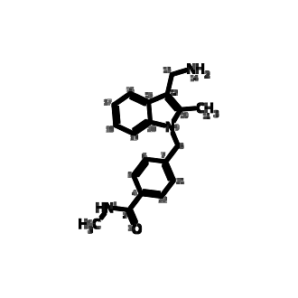 CNC(=O)c1ccc(Cn2c(C)c(CN)c3ccccc32)cc1